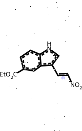 CCOC(=O)c1ccc2[nH]cc(/C=C/[N+](=O)[O-])c2c1